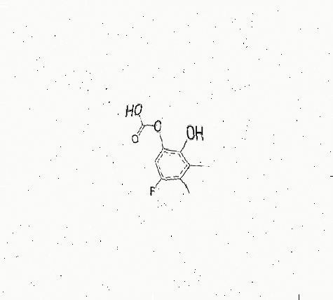 Cc1c(F)cc(OC(=O)O)c(O)c1C